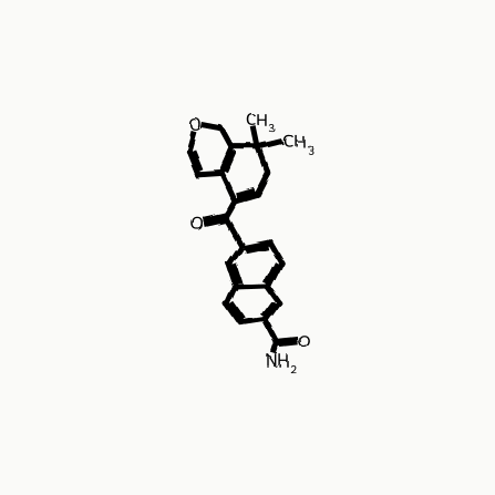 CC1(C)CC=C(C(=O)c2ccc3cc(C(N)=O)ccc3c2)C2=C1COC=C2